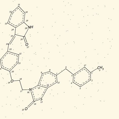 Cc1cccc(Cc2ccc3c(c2)sc(=O)n3CCOc2ccc(C=C3C(=O)Nc4ccccc43)cc2)c1